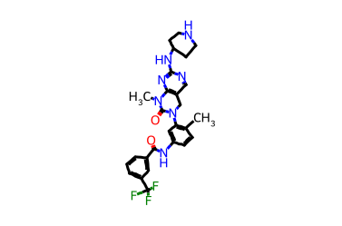 Cc1ccc(NC(=O)c2cccc(C(F)(F)F)c2)cc1N1Cc2cnc(NC3CCNCC3)nc2N(C)C1=O